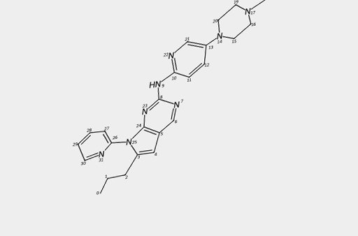 CCCc1cc2cnc(Nc3ccc(N4CCN(C)CC4)cn3)nc2n1-c1ccccn1